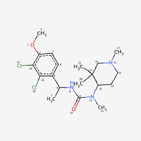 COc1ccc(C(C)NC(=O)N(C)C2CCN(C)CC2(C)C)c(Cl)c1Cl